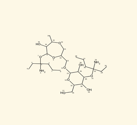 CCCC(N)(CC)OC1OC(COC2OC(CO)C(O)C(OC(N)(CC)CCC)C2O)COC(C)C1O